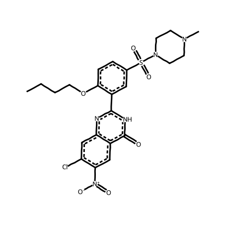 CCCCOc1ccc(S(=O)(=O)N2CCN(C)CC2)cc1-c1nc2cc(Cl)c([N+](=O)[O-])cc2c(=O)[nH]1